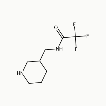 O=C(NCC1CCCNC1)C(F)(F)F